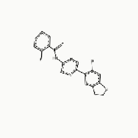 O=C(Nc1cnc(-c2cc3c(cc2Cl)OCC3)cn1)c1ccccc1F